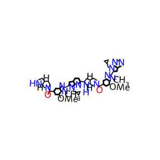 COc1cc(C(=O)N2CC[C@H]3CC(c4ccc5cc(-c6nc7cc(C(=O)N8CC[C@@H]9CCN[C@@H]9C8)cc(OC)c7n6C)n(CC6CC6)c5n4)N[C@H]3C2)cc2nc(-c3cc4cncnc4n3CC3CC3)n(C)c12